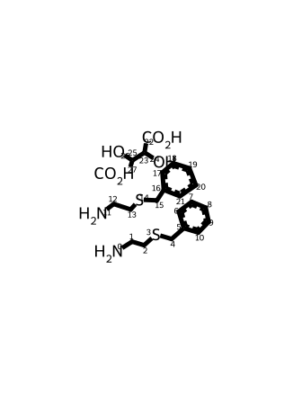 NCCSCc1ccccc1.NCCSCc1ccccc1.O=C(O)C(O)C(O)C(=O)O